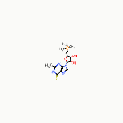 C=P(C)(C)CC[C@H]1O[C@@H](n2cnc3c(=S)[nH]c(C)nc32)[C@H](O)[C@@H]1O